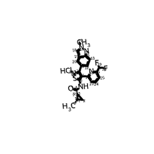 C[C@@H]1C[C@H]1C(=O)Nc1snc(-c2ccc3nn(C)cc3c2)c1-c1cccc(C(F)F)n1.Cl